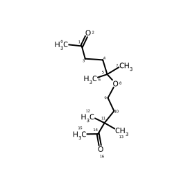 CC(=O)CCC(C)(C)OCCC(C)(C)C(C)=O